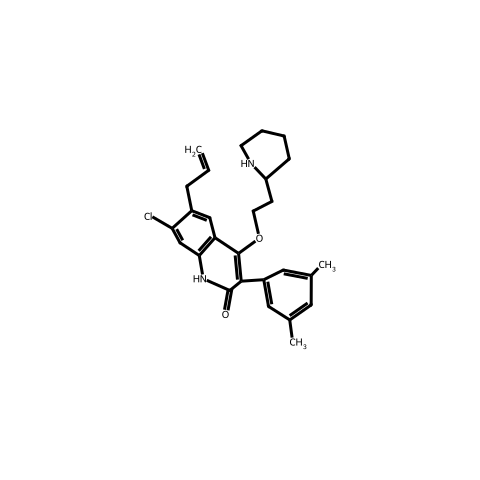 C=CCc1cc2c(OCCC3CCCCN3)c(-c3cc(C)cc(C)c3)c(=O)[nH]c2cc1Cl